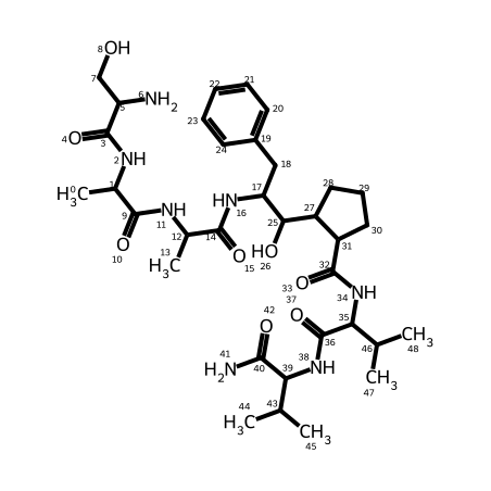 CC(NC(=O)C(N)CO)C(=O)NC(C)C(=O)NC(Cc1ccccc1)C(O)C1CCCC1C(=O)NC(C(=O)NC(C(N)=O)C(C)C)C(C)C